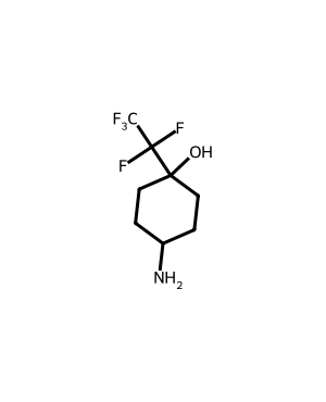 NC1CCC(O)(C(F)(F)C(F)(F)F)CC1